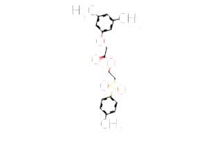 Cc1ccc(S(=O)(=O)CCOC(=O)COc2cc(C)cc(C)c2)cc1